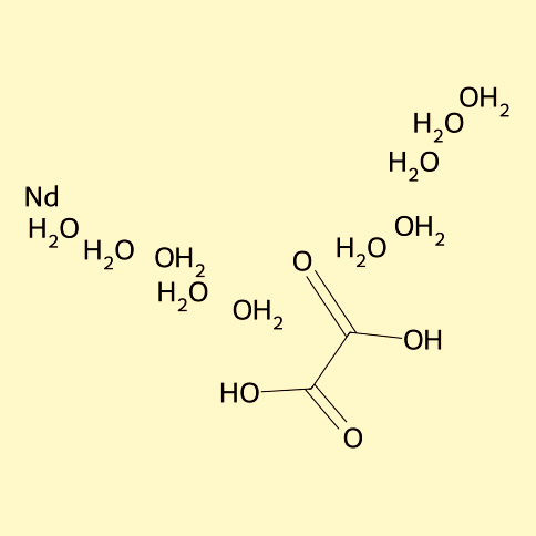 O.O.O.O.O.O.O.O.O.O.O=C(O)C(=O)O.[Nd]